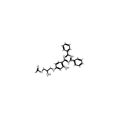 CC(=O)OCC(O)COc1ccc(-c2nc(-c3ccccc3)nc(-c3ccccc3)n2)c(O)c1